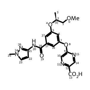 COC[C@H](C)Oc1cc(Oc2cnc(C(=O)O)cn2)cc(C(=O)Nc2ccn(C)n2)c1